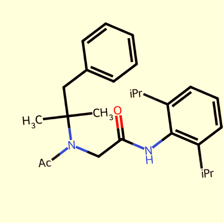 CC(=O)N(CC(=O)Nc1c(C(C)C)cccc1C(C)C)C(C)(C)Cc1ccccc1